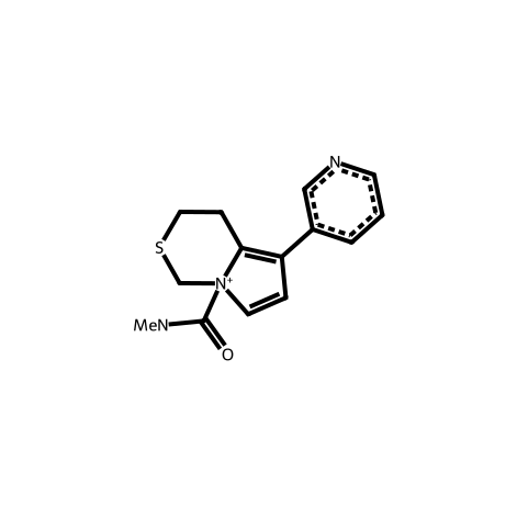 CNC(=O)[N+]12C=CC(c3cccnc3)=C1CCSC2